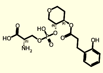 N[C@@H](COP(=O)(O)O[C@@H]1COCC[C@H]1OC(=O)CCc1ccccc1O)C(=O)O